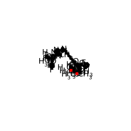 C[C@H](Oc1cc(-c2nn(C)c3c(-c4cnn(CCCCCCCCC(=O)NC5C[C@@H](C(=O)Nc6c(F)cccc6F)N(C(=O)[C@@H](NC(=O)[C@H](C)N(C)C(=O)OC(C)(C)C)C(C)(C)C)C5)c4)cnc(N)c23)ccc1NS(=O)(=O)C(F)F)c1ccc(F)cc1